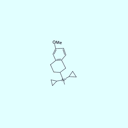 COc1ccc2c(c1)CCC([N+](C)(C1CC1)C1CC1)C2